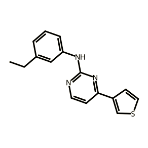 CCc1cccc(Nc2nccc(-c3ccsc3)n2)c1